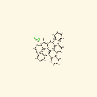 CC1=C(C)[CH]([Zr+2](=[C](c2ccccc2)c2ccccc2)[c]2cccc3c2Cc2ccccc2-3)c2ccccc21.[Cl-].[Cl-]